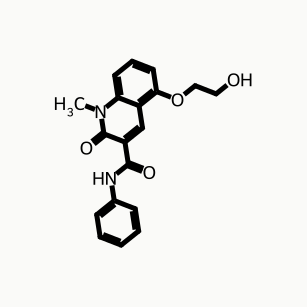 Cn1c(=O)c(C(=O)Nc2ccccc2)cc2c(OCCO)cccc21